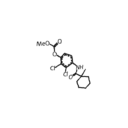 COC(=O)Oc1ccc(NC(=O)C2(C)CCCCC2)c(Cl)c1Cl